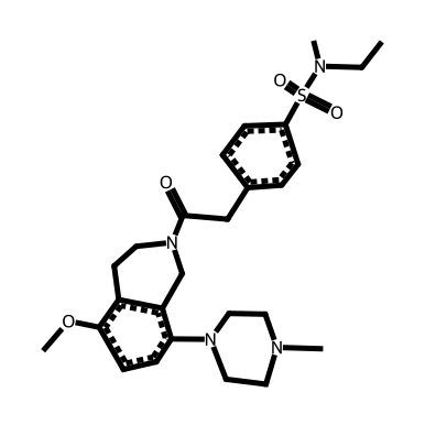 CCN(C)S(=O)(=O)c1ccc(CC(=O)N2CCc3c(OC)ccc(N4CCN(C)CC4)c3C2)cc1